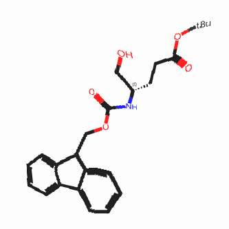 CC(C)(C)OC(=O)CC[C@@H](CO)NC(=O)OCC1c2ccccc2-c2ccccc21